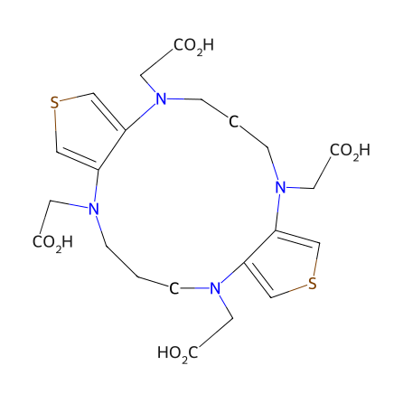 O=C(O)CN1CCCN(CC(=O)O)c2cscc2N(CC(=O)O)CCCN(CC(=O)O)c2cscc21